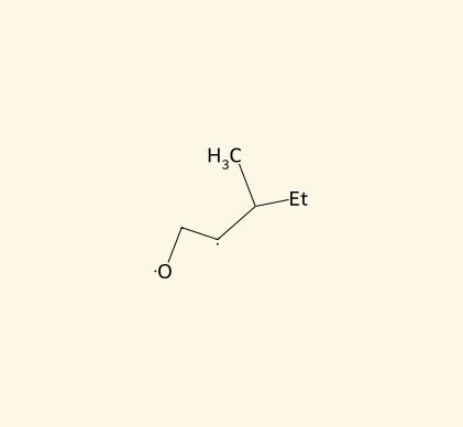 CCC(C)[CH]C[O]